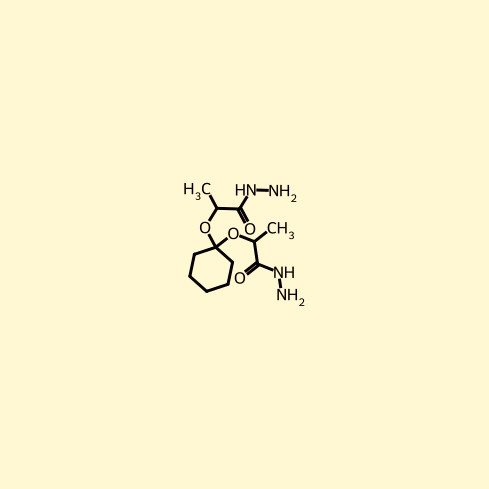 CC(OC1(OC(C)C(=O)NN)CCCCC1)C(=O)NN